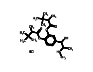 CNC(C)C(O)c1ccc(OC(=O)C(C)C(C)(C)C)c(OC(=O)C(C)C(C)(C)C)c1.Cl